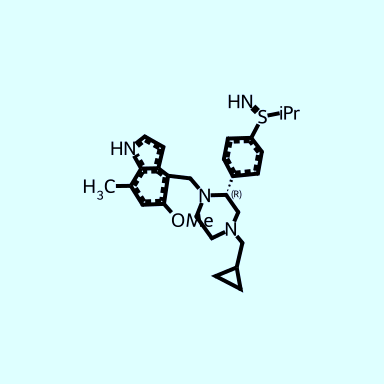 COc1cc(C)c2[nH]ccc2c1CN1CCN(CC2CC2)C[C@H]1c1ccc(S(=N)C(C)C)cc1